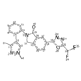 Cc1nn(C)cc1-c1ccccc1N1Cc2ccc(-c3nnc(C(F)F)o3)cc2C1=O